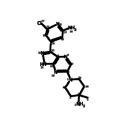 CC1(N)CCN(c2cnc3c(-c4cc(N)nc(Cl)c4)n[nH]c3n2)CC1